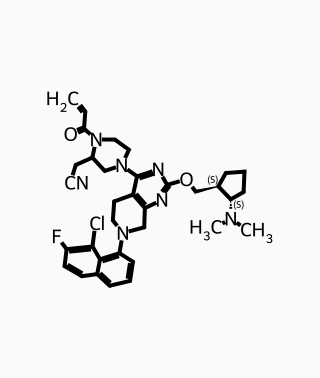 C=CC(=O)N1CCN(c2nc(OC[C@H]3CCC[C@@H]3N(C)C)nc3c2CCN(c2cccc4ccc(F)c(Cl)c24)C3)CC1CC#N